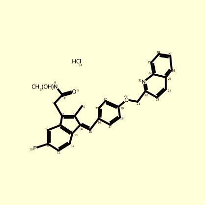 CC1=C(CC(=O)N(C)O)c2cc(F)ccc2C1=Cc1ccc(OCc2ccc3ccccc3n2)cc1.Cl